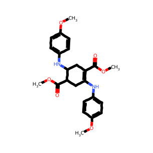 COC(=O)C1=C(Nc2ccc(OC)cc2)CC(C(=O)OC)C(Nc2ccc(OC)cc2)C1